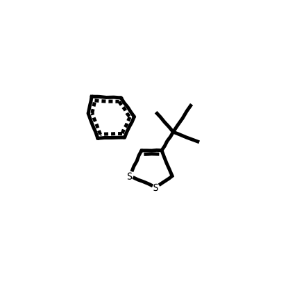 CC(C)(C)C1=CSSC1.c1ccccc1